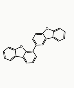 c1ccc2c(c1)oc1ccc(-c3cccc4c3oc3ccccc34)cc12